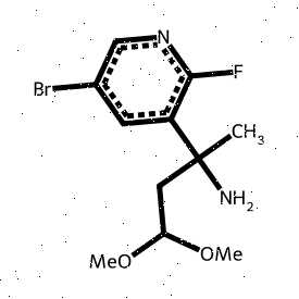 COC(CC(C)(N)c1cc(Br)cnc1F)OC